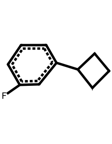 Fc1cccc(C2[CH]CC2)c1